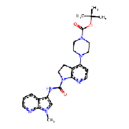 Cn1cc(NC(=O)N2CCc3c(N4CCN(C(=O)OC(C)(C)C)CC4)ccnc32)c2cccnc21